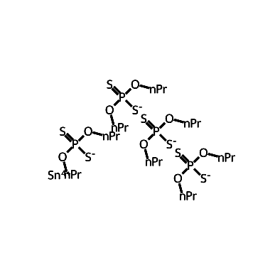 CCCOP(=S)([S-])OCCC.CCCOP(=S)([S-])OCCC.CCCOP(=S)([S-])OCCC.CCCOP(=S)([S-])OCCC.[Sn+4]